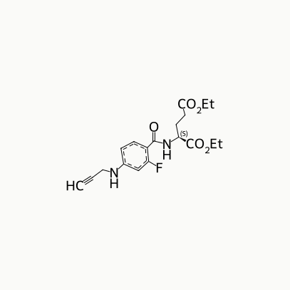 C#CCNc1ccc(C(=O)N[C@@H](CCC(=O)OCC)C(=O)OCC)c(F)c1